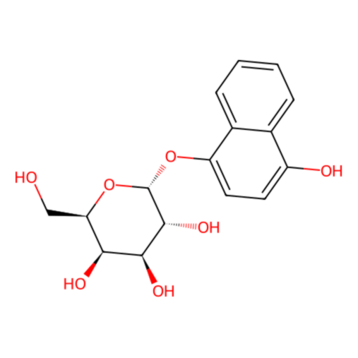 OC[C@H]1O[C@H](Oc2ccc(O)c3ccccc23)[C@H](O)[C@@H](O)[C@H]1O